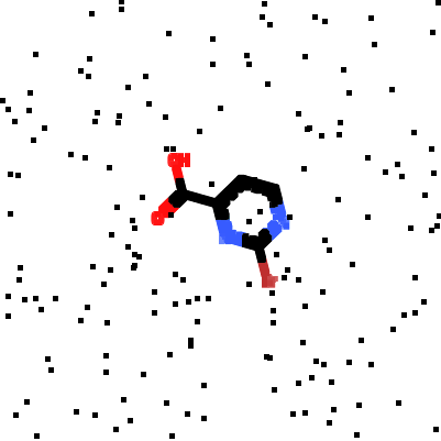 O=C(O)c1ccnc(Br)n1